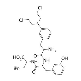 CC(C)CC(NC(=O)C(Cc1cccc(O)c1)NC(=O)C(N)Cc1cccc(N(CCCl)CCCl)c1)C(=O)O